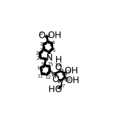 O=C(O)c1ccc2nc(-c3cccc([C@H]4O[C@H](CO)[C@@H](O)[C@H](O)[C@@H]4O)c3)ccc2c1